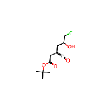 CC(C)(C)OC(=O)CC(=C=O)CC(O)CCl